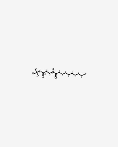 CCCCCCCCCC(=O)NCCC(=O)OC(C)(C)C